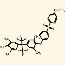 COc1ccc(S(=O)(=O)c2ccc(Oc3c(C)cc(C(c4cc(C)c(C)c(C)c4)(C(F)(F)F)C(F)(F)F)cc3C)cc2)cc1